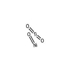 [O]=[Ni].[O]=[Ti]=[O]